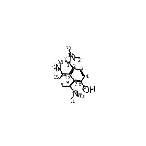 CC(c1ccc(O)c(C(C)N(C)C)c1C(C)N(C)C)N(C)C